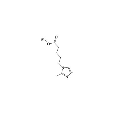 Cc1n[c]cn1CCCCC(=O)OC(C)C